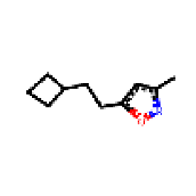 Cc1cc(CCC2CCC2)on1